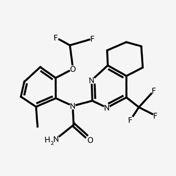 Cc1cccc(OC(F)F)c1N(C(N)=O)c1nc2c(c(C(F)(F)F)n1)CCCC2